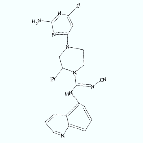 CC(C)C1CN(c2cc(Cl)nc(N)n2)CCN1/C(=N\C#N)Nc1cccc2ncccc12